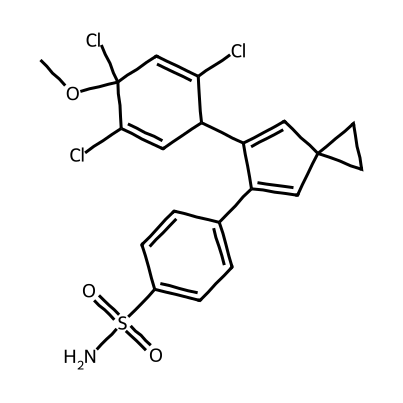 COC1(Cl)C=C(Cl)C(C2=CC3(C=C2c2ccc(S(N)(=O)=O)cc2)CC3)C=C1Cl